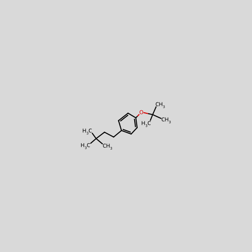 CC(C)(C)CCc1ccc(OC(C)(C)C)cc1